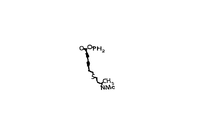 CNC(C)CCSCCC#CC#CC(=O)OP